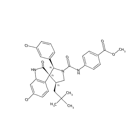 COC(=O)c1ccc(NC(=O)N2C[C@@H](CC(C)(C)C)[C@@]3(C(=O)Nc4cc(Cl)ccc43)[C@H]2c2cccc(Cl)c2)cc1